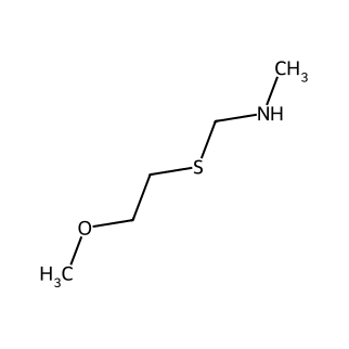 CNCSCCOC